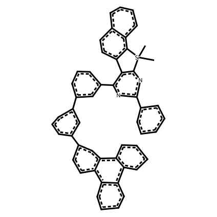 C[Si]1(C)c2nc(-c3ccccc3)nc(-c3cccc(-c4cccc(-c5ccc6c7ccccc7c7ccccc7c6c5)c4)c3)c2-c2ccc3ccccc3c21